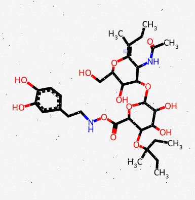 CC/C(C)=C1/OC(CO)C(O)C(OC2OC(C(=O)ONCCc3ccc(O)c(O)c3)C(OC(C)(CC)CC)C(O)C2O)C1NC(C)=O